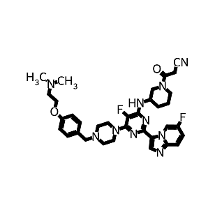 CN(C)CCOc1ccc(CN2CCN(c3nc(-c4cnc5ccc(F)cn45)nc(NC4CCCN(C(=O)CC#N)C4)c3F)CC2)cc1